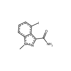 Cn1nc(C(N)=O)c2c(I)cccc21